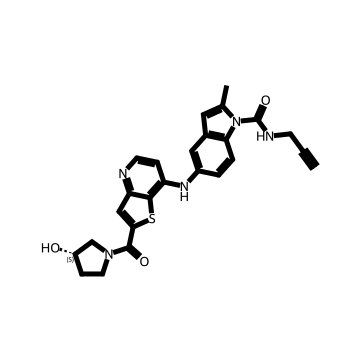 C#CCNC(=O)n1c(C)cc2cc(Nc3ccnc4cc(C(=O)N5CC[C@H](O)C5)sc34)ccc21